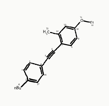 CCCCc1ccc(C#Cc2ccc(OCC)cc2C)cc1